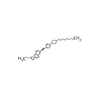 CCCCCCCCCC1CCC(c2ccc(C#Cc3ccc4cc(OCCCC)ccc4c3)cc2)CC1